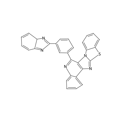 C1=CC2=NC(c3cccc(-c4nc5ccccc5c5nc6sc7ccccc7n6c45)c3)=NC2C=C1